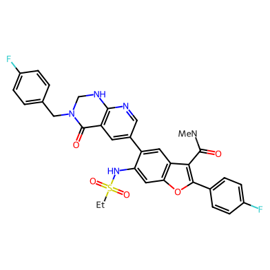 CCS(=O)(=O)Nc1cc2oc(-c3ccc(F)cc3)c(C(=O)NC)c2cc1-c1cnc2c(c1)C(=O)N(Cc1ccc(F)cc1)CN2